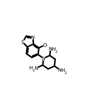 NC1CC(N)N(c2ccc3scnc3c2[O])C(N)C1